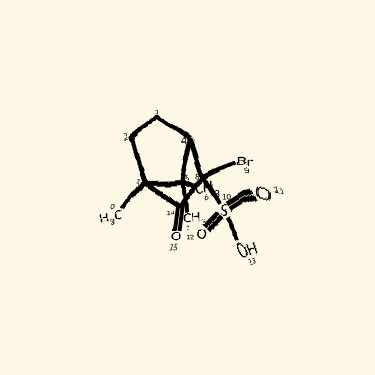 CC12CCC(C1(C)C)C(Br)(S(=O)(=O)O)C2=O